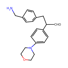 NCc1ccc(CC(C=O)c2ccc(N3CCOCC3)cc2)cc1